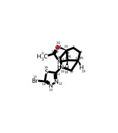 CC(=O)N[C@H]1[C@@H]2CC[C@H]1CN(c1nnc(Br)s1)C2